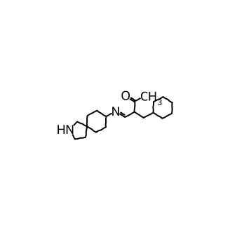 CC(=O)C(/C=N/C1CCC2(CCNC2)CC1)CC1CCCCC1